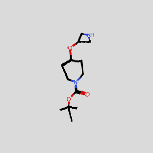 CC(C)(C)OC(=O)N1CCC(OC2CNC2)CC1